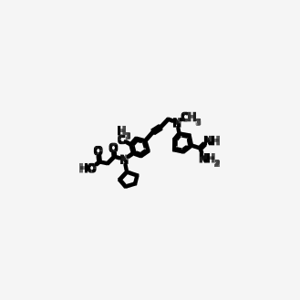 Cc1cc(C#CCN(C)c2cccc(C(=N)N)c2)ccc1N(C(=O)CC(=O)O)C1CCCC1